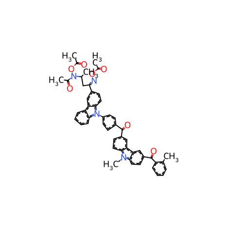 CC(=O)O/N=C(\CC(C)N(OC(C)=O)C(C)=O)c1ccc2c(c1)c1ccccc1n2-c1ccc(C(=O)c2ccc3c(c2)c2cc(C(=O)c4ccccc4C)ccc2n3C)cc1